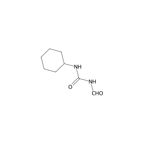 O=CNC(=O)NC1CCCCC1